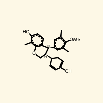 COc1c(C)cc([C@@H]2c3ccc(O)c(C)c3OC[C@@H]2C2C=CC(O)=CC2)cc1C